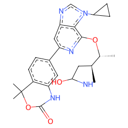 C[C@@H](Oc1nc(-c2ccc3c(c2)NC(=O)OC3(C)C)cc2ncn(C3CC3)c12)[C@H]1CNC(O)C1